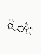 Cc1cnn(CC2=CCC(C)(C(C)C)C=C2)c1